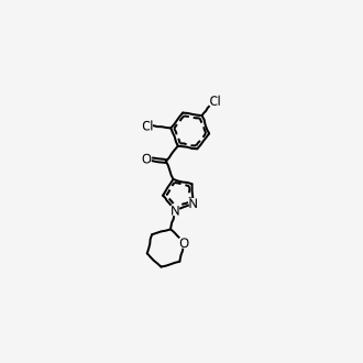 O=C(c1cnn(C2CCCCO2)c1)c1ccc(Cl)cc1Cl